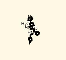 Cc1c(-c2ccncc2)ccc2c(C(=O)[C@@H](NCCc3ccc(F)cc3)c3ccccc3)c[nH]c12